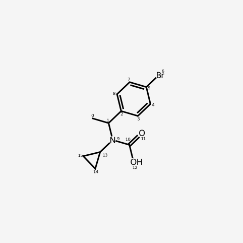 CC(c1ccc(Br)cc1)N(C(=O)O)C1CC1